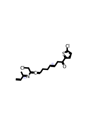 C=C/C(C)=N/C(=C=CCC/C=C/CC(=O)c1ccc(Cl)s1)CCl